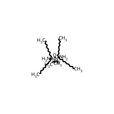 CCCCCCCCCCC(N)(CCCCCCCCCC)N1C(=O)N(C(N)(CCCCCCCCCC)CCCCCCCCCC)C(C)(CC)C1=O